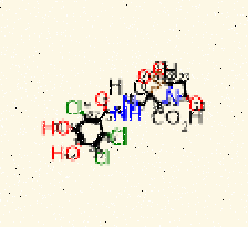 C[C@]1(/C=N/NC(=O)c2c(Cl)c(O)c(O)c(Cl)c2Cl)[C@H](C(=O)O)N2C(=O)C[C@H]2S1(=O)=O